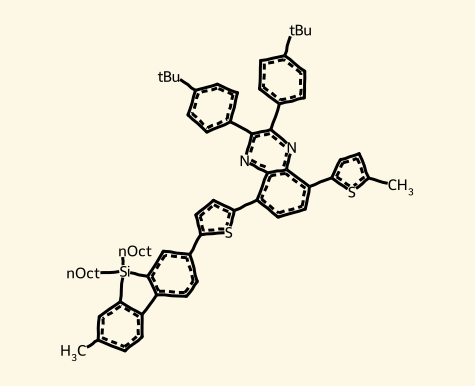 CCCCCCCC[Si]1(CCCCCCCC)c2cc(C)ccc2-c2ccc(-c3ccc(-c4ccc(-c5ccc(C)s5)c5nc(-c6ccc(C(C)(C)C)cc6)c(-c6ccc(C(C)(C)C)cc6)nc45)s3)cc21